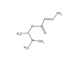 CC=CC(=O)OC(C)N(C)C